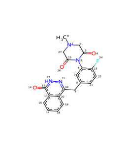 CN1CC(=O)N(c2cc(Cc3n[nH]c(=O)c4ccccc34)ccc2F)C(=O)C1